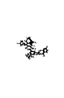 CCS(=O)(=O)Nc1cc(C(=O)N[C@@H](Cc2ccccc2)[C@H](O)CN[C@@H](C)c2ccccc2)cc(C(=O)N[C@H](C)c2ccc(C)cc2)c1